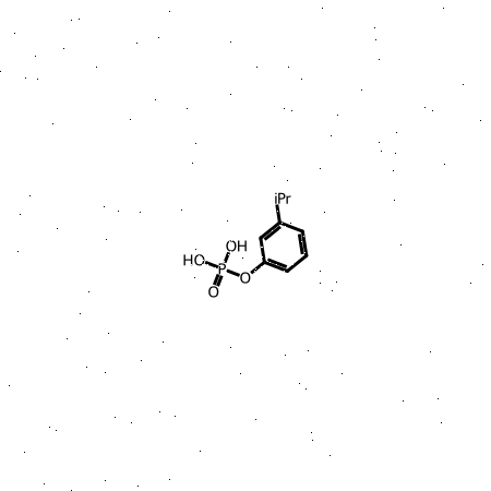 CC(C)c1cccc(OP(=O)(O)O)c1